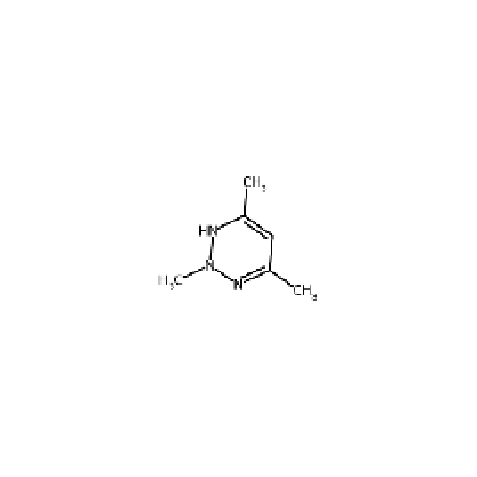 CC1=CC(C)=NN(C)N1